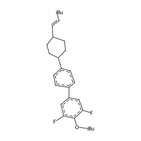 CCC(C)/C=C/C1CCC(c2ccc(-c3cc(F)c(OC(C)CC)c(F)c3)cc2)CC1